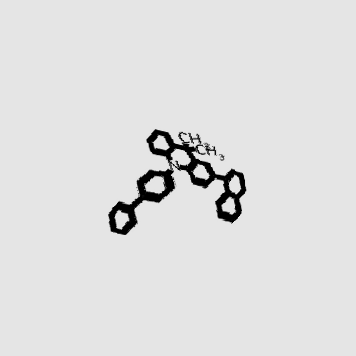 CC1(C)c2ccccc2N(c2ccc(-c3ccccc3)cc2)c2ccc(-c3cccc4ccccc34)cc21